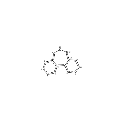 [C]1=c2ccccc2=c2ccccc2=NO1